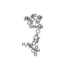 COc1ccc(CN2C3CC2CN(c2ccc(-c4nc(-c5cnn(C6CCC(N7CC[C@H](c8cc9c(cc8F)c(N8CCC(=O)NC8=O)nn9C)C(F)(F)C7)CC6)c5)cn5ncc(C#N)c45)cn2)C3)cn1